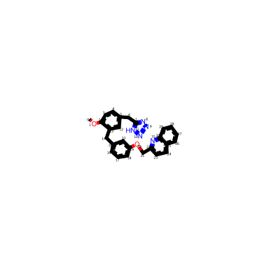 COc1ccc(Cc2nnn[nH]2)cc1Cc1cccc(OCc2ccc3ccccc3n2)c1